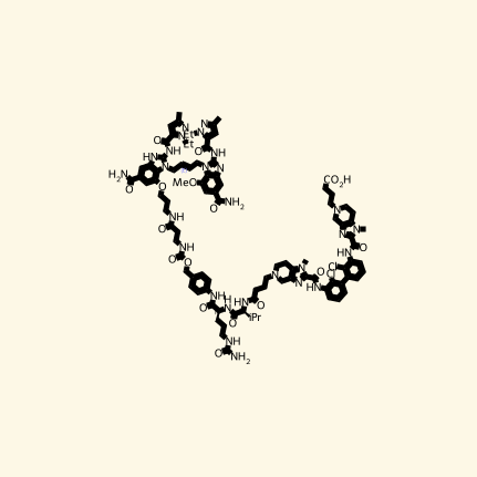 CCn1nc(C)cc1C(=O)Nc1nc2cc(C(N)=O)cc(OC)c2n1C/C=C/CN1c2c(cc(C(N)=O)cc2OCCCNC(=O)CCNC(=O)OCc2ccc(NC(=O)[C@H](CCCNC(N)=O)NC(=O)[C@@H](NC(=O)CCCN3CCc4c(nc(C(=O)Nc5cccc(-c6cccc(NC(=O)c7nc8c(n7C)CCN(CCCC(=O)O)C8)c6Cl)c5Cl)n4C)C3)C(C)C)cc2)NC1NC(=O)c1cc(C)nn1CC